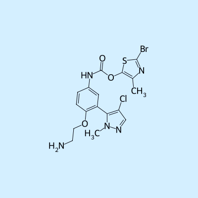 Cc1nc(Br)sc1OC(=O)Nc1ccc(OCCN)c(-c2c(Cl)cnn2C)c1